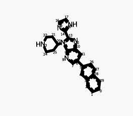 c1ccc2cc(-c3cnc4c(c3)nc(-c3ncc[nH]3)n4C3CCNCC3)ccc2c1